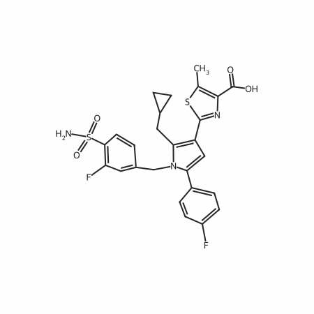 Cc1sc(-c2cc(-c3ccc(F)cc3)n(Cc3ccc(S(N)(=O)=O)c(F)c3)c2CC2CC2)nc1C(=O)O